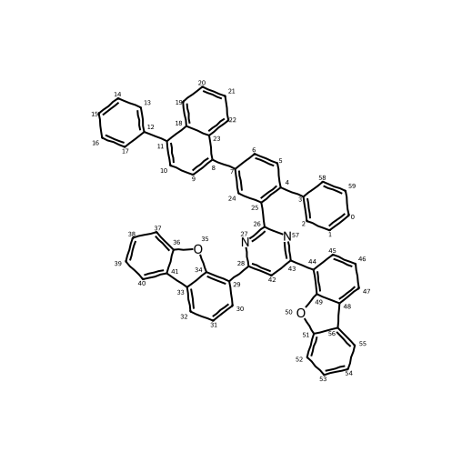 c1ccc(-c2ccc(-c3ccc(-c4ccccc4)c4ccccc34)cc2-c2nc(-c3cccc4c3oc3ccccc34)cc(-c3cccc4c3oc3ccccc34)n2)cc1